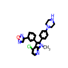 Cn1c(-c2ccc(N3CCNCC3)cc2)c(-c2cccc(-c3cnon3)c2)c2c(Cl)ccnc21